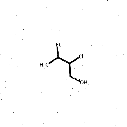 CCC(C)C(Cl)CO